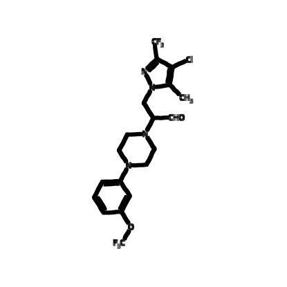 Cc1c(Cl)c(C(F)(F)F)nn1CC(C=O)N1CCN(c2cccc(OC(F)(F)F)c2)CC1